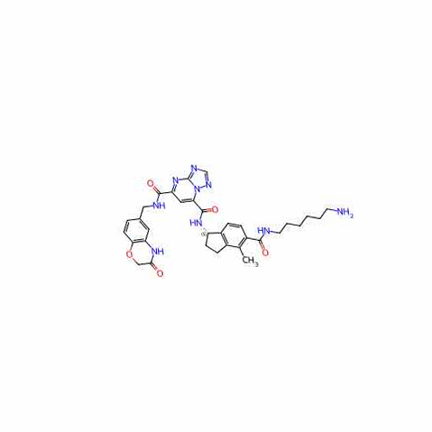 Cc1c(C(=O)NCCCCCCN)ccc2c1CC[C@@H]2NC(=O)c1cc(C(=O)NCc2ccc3c(c2)NC(=O)CO3)nc2ncnn12